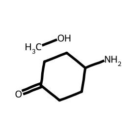 CO.NC1CCC(=O)CC1